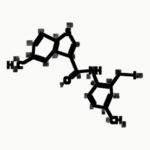 Cc1ccc(NC(=O)c2csc3ccc(C)cc23)c(CI)c1